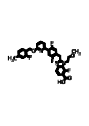 COCCn1c(Cc2cc(F)c(-c3cccc(OCc4ccc(C)cc4F)n3)cc2F)nc2ccc(C(=O)O)c(F)c21